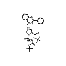 CC(C)(C)OC(=O)N[C@H](C(=O)N1C[C@H](Oc2nc(-c3ccccc3)nc3ccccc23)C[C@H]1C(=O)O)C(C)(C)C